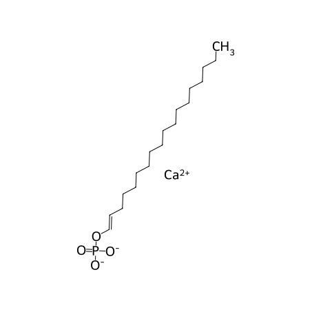 CCCCCCCCCCCCCCCCC=COP(=O)([O-])[O-].[Ca+2]